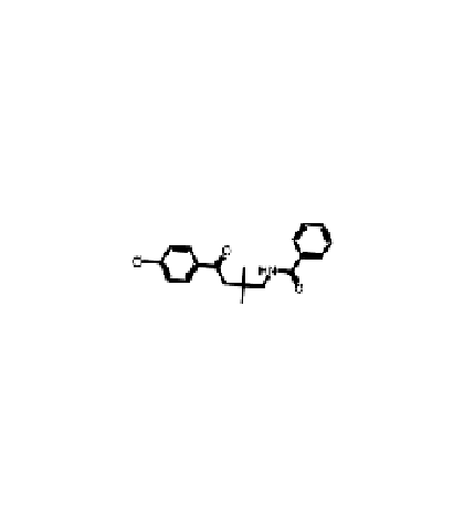 CC(C)(CNC(=O)c1ccccc1)CC(=O)c1ccc(Cl)cc1